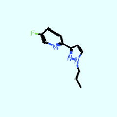 C[CH]Cn1ccc(-c2ccc(F)cn2)n1